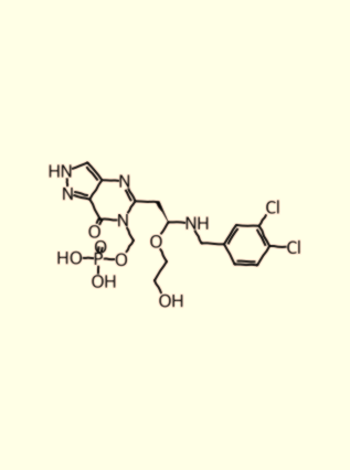 O=c1c2n[nH]cc2nc(C[C@@H](NCc2ccc(Cl)c(Cl)c2)OCCO)n1COP(=O)(O)O